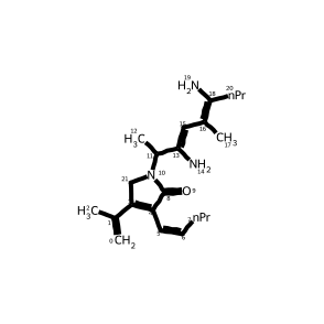 C=C(C)C1=C(/C=C\CCC)C(=O)N(C(C)/C(N)=C/C(C)=C(\N)CCC)C1